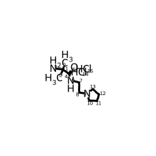 CC(C)(N)C(=O)NCCN1CCCC1.Cl.Cl